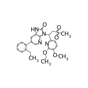 CCOc1nc(C(CS(C)(=O)=O)n2c(=O)[nH]c3cc(-c4ccccc4CC)cnc32)ccc1OC